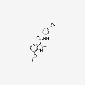 CCOc1cccn2c(C(=O)N[C@@H]3CCN(C4CC4)C3)c(C)nc12